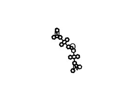 c1ccc(-n2c3ccccc3c3cc(-c4c5ccccc5c(-c5ccc6c7c(oc6c5)C=CC(c5c6ccccc6c(-c6ccc8c(c6)c6c(n8-c8ccccc8)=CCCC=6)c6ccccc56)C7)c5ccccc45)ccc32)cc#1